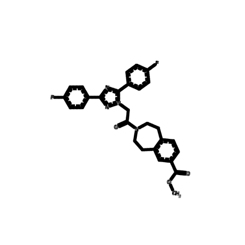 COC(=O)c1ccc2c(c1)CCN(C(=O)Cn1nc(-c3ccc(F)cc3)nc1-c1ccc(F)cc1)CC2